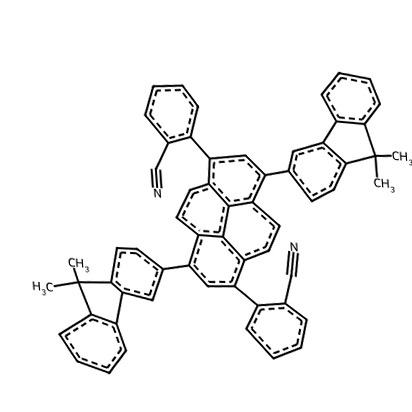 CC1(C)c2ccccc2-c2cc(-c3cc(-c4ccccc4C#N)c4ccc5c(-c6ccc7c(c6)-c6ccccc6C7(C)C)cc(-c6ccccc6C#N)c6ccc3c4c56)ccc21